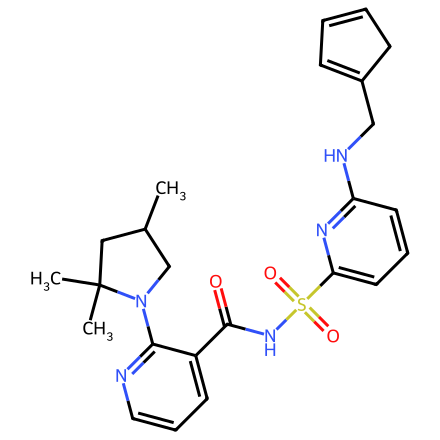 CC1CN(c2ncccc2C(=O)NS(=O)(=O)c2cccc(NCC3=CC=CC3)n2)C(C)(C)C1